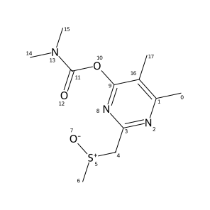 Cc1nc(C[S+](C)[O-])nc(OC(=O)N(C)C)c1C